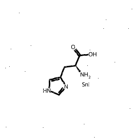 N[C@@H](Cc1c[nH]cn1)C(=O)O.[Sn]